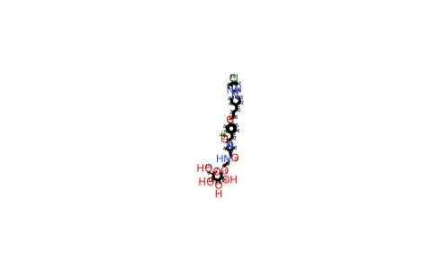 O=C(NCCO[C@H]1O[C@H](CO)[C@@H](O)[C@H](O)[C@@H]1O)C1CN(C(=O)Cc2ccc(OCCCC3CCN(c4ncc(Cl)cn4)CC3)cc2F)C1